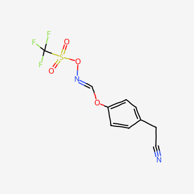 N#CCc1ccc(OC=NOS(=O)(=O)C(F)(F)F)cc1